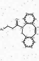 CC(=O)CCC(=O)N1Cc2ccccc2/C=C\c2ccccc21